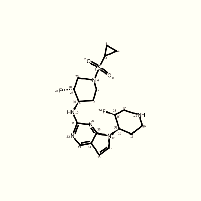 O=S(=O)(C1CC1)N1CC[C@@H](Nc2ncc3ccn([C@@H]4CCNC[C@@H]4F)c3n2)[C@H](F)C1